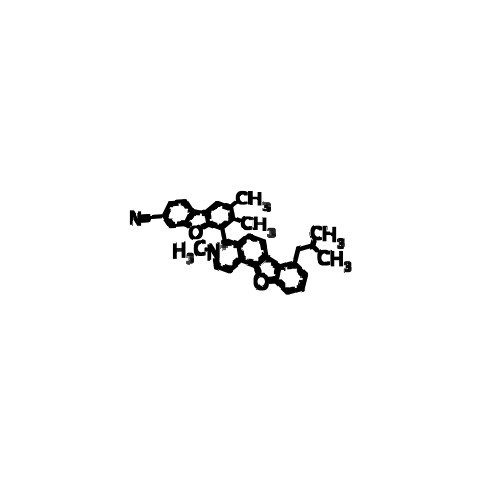 Cc1cc2c(oc3cc(C#N)ccc32)c(-c2c3ccc4c(oc5cccc(CC(C)C)c54)c3cc[n+]2C)c1C